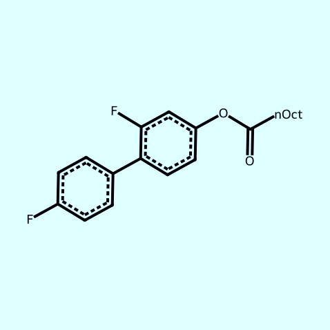 CCCCCCCCC(=O)Oc1ccc(-c2ccc(F)cc2)c(F)c1